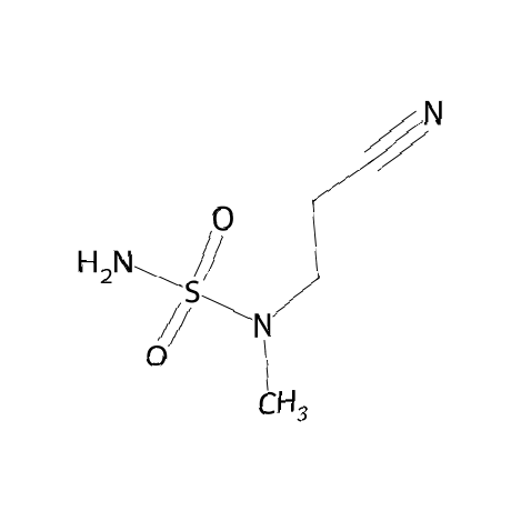 CN(CCC#N)S(N)(=O)=O